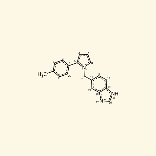 Cc1ccc(-c2cccn2Cc2ccc3[nH]cnc3c2)cc1